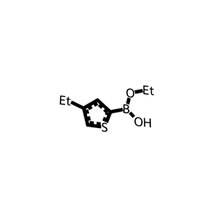 CCOB(O)c1cc(CC)cs1